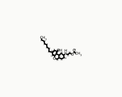 CCCCCCCCc1cc(O)c2c(c1)OCC1CCC(NCCOC(C)=O)CC21